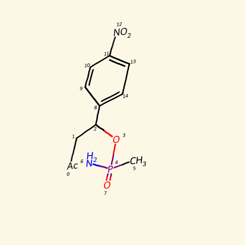 CC(=O)CC(OP(C)(N)=O)c1ccc([N+](=O)[O-])cc1